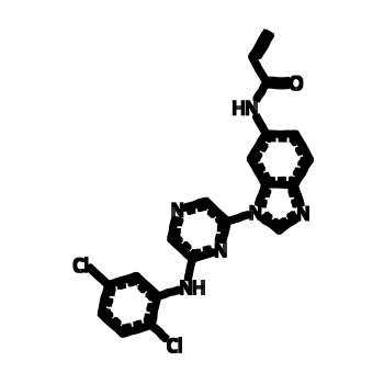 C=CC(=O)Nc1ccc2ncn(-c3cncc(Nc4cc(Cl)ccc4Cl)n3)c2c1